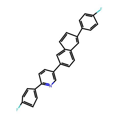 Fc1ccc(-c2ccc3cc(-c4ccc(-c5ccc(F)cc5)nc4)ccc3c2)cc1